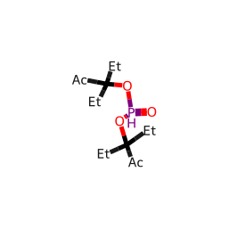 CCC(CC)(O[PH](=O)OC(CC)(CC)C(C)=O)C(C)=O